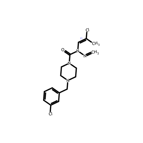 C=NN(/C=C(\C)Cl)C(=O)N1CCN(Cc2cccc(Cl)c2)CC1